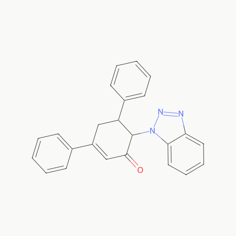 O=C1C=C(c2ccccc2)CC(c2ccccc2)C1n1nnc2ccccc21